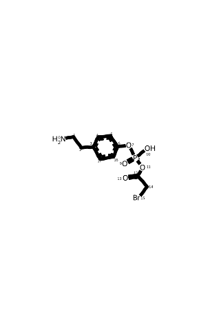 NCCc1ccc(OP(=O)(O)OC(=O)CBr)cc1